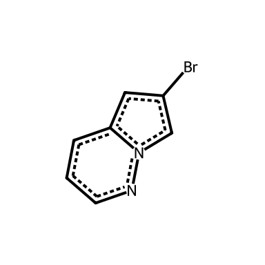 Brc1cc2cccnn2c1